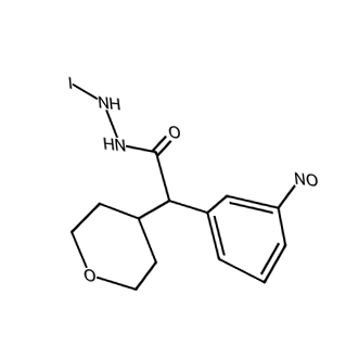 O=Nc1cccc(C(C(=O)NNI)C2CCOCC2)c1